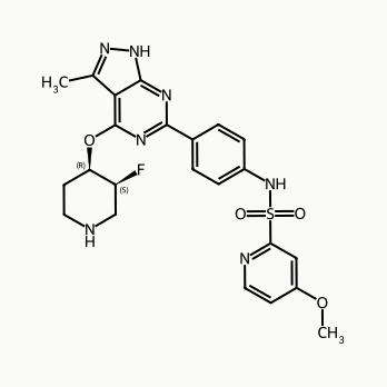 COc1ccnc(S(=O)(=O)Nc2ccc(-c3nc(O[C@@H]4CCNC[C@@H]4F)c4c(C)n[nH]c4n3)cc2)c1